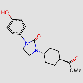 COC(=O)[C@H]1CC[C@H](N2CCN(c3ccc(O)cc3)C2=O)CC1